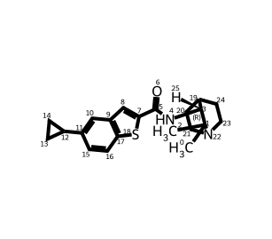 CC1(C)[C@H](NC(=O)c2cc3cc(C4CC4)ccc3s2)C2CCN1CC2